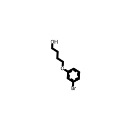 OCCCCOc1cccc(Br)c1